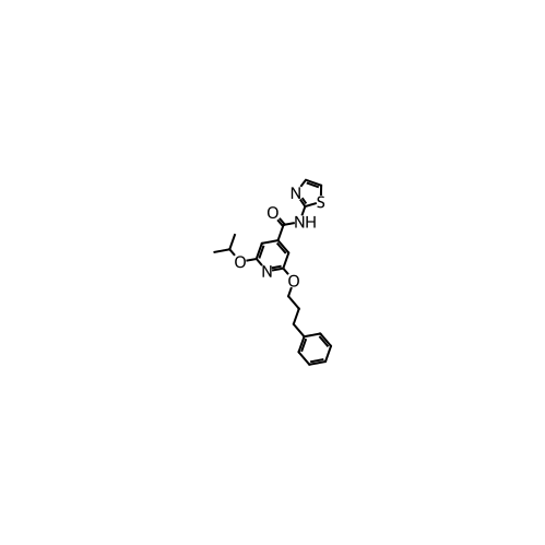 CC(C)Oc1cc(C(=O)Nc2nccs2)cc(OCCCc2ccccc2)n1